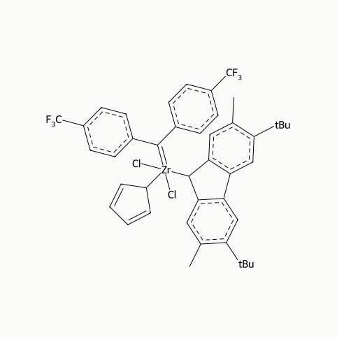 Cc1cc2c(cc1C(C)(C)C)-c1cc(C(C)(C)C)c(C)cc1[CH]2[Zr]([Cl])([Cl])(=[C](c1ccc(C(F)(F)F)cc1)c1ccc(C(F)(F)F)cc1)[CH]1C=CC=C1